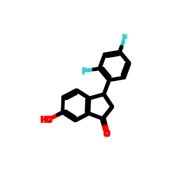 O=C1CC(c2ccc(F)cc2F)c2ccc(O)cc21